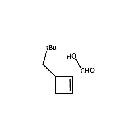 CC(C)(C)CC1C=CC1.O=CO